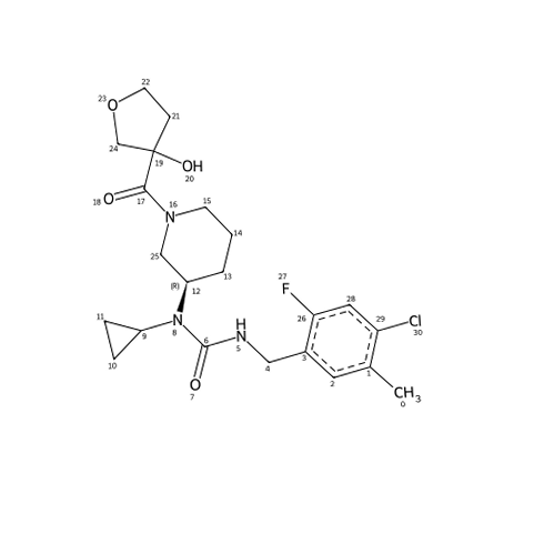 Cc1cc(CNC(=O)N(C2CC2)[C@@H]2CCCN(C(=O)C3(O)CCOC3)C2)c(F)cc1Cl